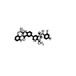 COc1ncc(-c2ccc3nc(N)n(-c4c(F)cccc4F)c(=O)c3c2)cc1S(=O)(=O)Nc1ccc(F)cc1F